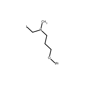 CC(C)OCCCN(C)CI